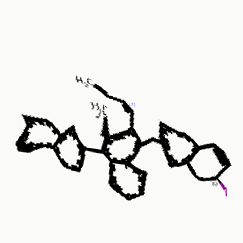 C=C/C=C\c1c(C)c(-c2ccc3ccccc3c2)c2ccccc2c1-c1ccc2c(c1)C[C@H](I)C=C2